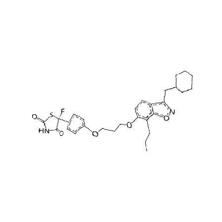 CCCc1c(OCCCOc2ccc(C3(F)SC(=O)NC3=O)cc2)ccc2c(CC3CCCCC3)noc12